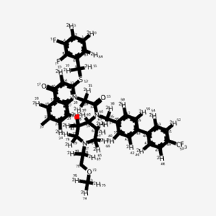 [2H]c1c([2H])c(F)c(F)c(C([2H])([2H])Sc2c([2H])c(=O)c3c([2H])c(C)c([2H])c([2H])c3n2C([2H])([2H])C(=O)N(C([2H])([2H])c2c([2H])c([2H])c(-c3c([2H])c([2H])c(C(F)(F)F)c([2H])c3[2H])c([2H])c2[2H])C2([2H])C([2H])([2H])C([2H])([2H])N(C([2H])([2H])COC([2H])([2H])[2H])C([2H])([2H])C2([2H])[2H])c1[2H]